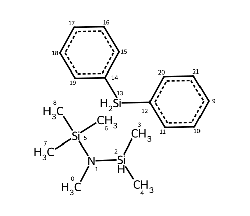 CN([SiH](C)C)[Si](C)(C)C.c1ccc([SiH2]c2ccccc2)cc1